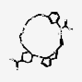 O=C(O)C1CCC2Cc3cccc4cc([nH]c34)C#CNN(C(=O)O)c3cccc(c3)CCCCCCCCCC2C1